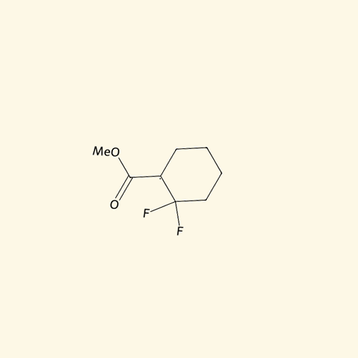 COC(=O)[C]1CCCCC1(F)F